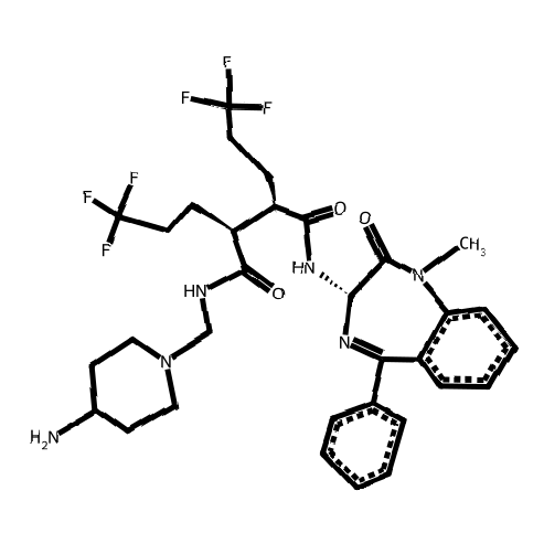 CN1C(=O)[C@@H](NC(=O)[C@H](CCC(F)(F)F)[C@H](CCC(F)(F)F)C(=O)NCN2CCC(N)CC2)N=C(c2ccccc2)c2ccccc21